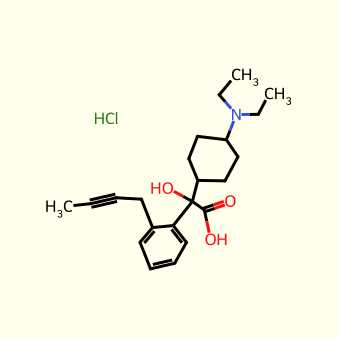 CC#CCc1ccccc1C(O)(C(=O)O)C1CCC(N(CC)CC)CC1.Cl